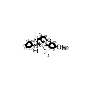 COc1ccc(C(C)n2c(=O)ccc3cnc(Nc4ccccc4)nc32)cc1